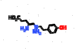 N/C(=C\N(N)CCc1ccc(O)cc1)CCC(=O)O